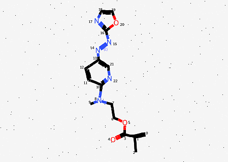 C=C(C)C(=O)OCCN(C)c1ccc(/N=N/c2ncco2)cn1